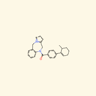 CC1CCCC=C1c1ccc(C(=O)N2Cc3cccn3Cc3ccccc32)cc1